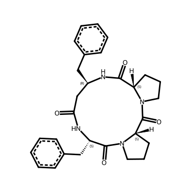 O=C1C[C@@H](Cc2ccccc2)NC(=O)[C@@H]2CCCN2C(=O)[C@@H]2CCCN2C(=O)[C@H](Cc2ccccc2)N1